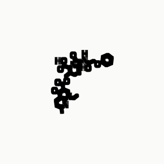 CCn1cc(C(=O)OCC2=C(C(=O)O)N3C(=O)[C@@H](NC(=O)COc4ccccc4)[C@H]3SC2)c(=O)c2ccc(C)nc21